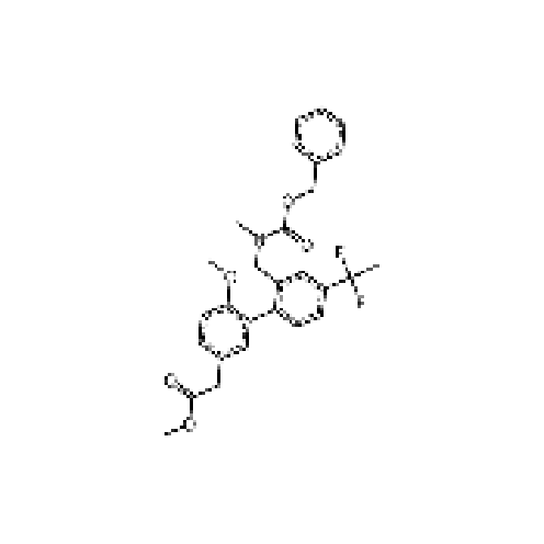 COC(=O)Cc1ccc(OC)c(-c2ccc(C(F)(F)F)cc2CN(C)C(=O)OCc2ccccc2)c1